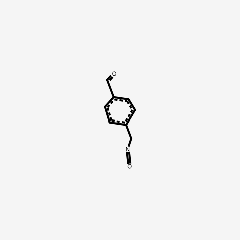 O=Cc1ccc(CN=O)cc1